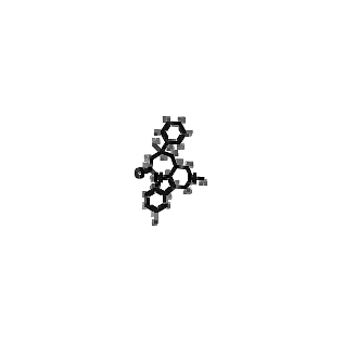 Cc1ccc2c(c1)c1c3n2C(=O)CC(C)(c2ccccc2)CC3CN(C)C1